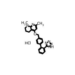 Cc1cc(OCc2ccc(-c3ccccc3-c3nnn[nH]3)cc2)c2c(n1)N(C)CCC2.Cl